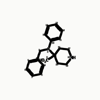 O=C(O)C1(N(Cc2ccccc2)c2ccccc2)CCNCC1